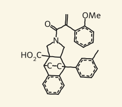 C=C(C(=O)N1CC2C3(c4cccc(C)c4)CCC(c4ccccc43)C2(C(=O)O)C1)c1ccccc1OC